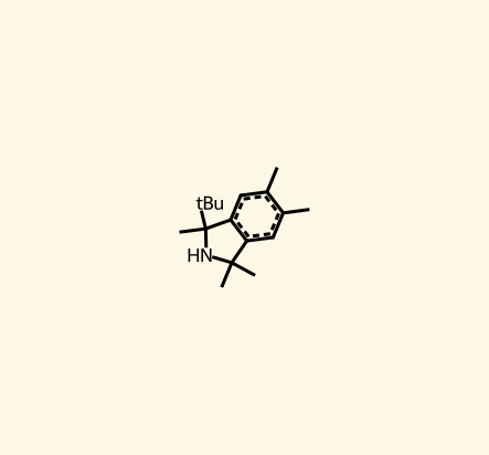 Cc1cc2c(cc1C)C(C)(C(C)(C)C)NC2(C)C